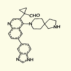 O=CC1(c2cnc3ccc(-c4ccc5[nH]cnc5c4)cc3c2N2CCC3(CCNC3)CC2)CC1